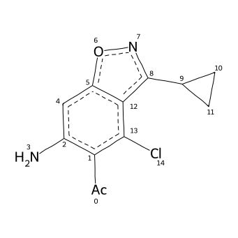 CC(=O)c1c(N)cc2onc(C3CC3)c2c1Cl